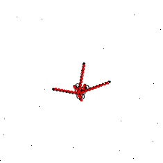 C=CC(=O)OC(CCCCCCCCCCCCCCCCC)OP(=O)(OC(CCCCCCCCCCCCCCCCC)OC(=O)C=C)OC(CCCCCCCCCCCCCCCCC)OC(=O)C=C